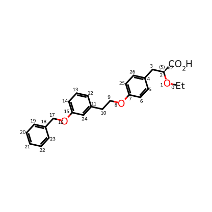 CCO[C@@H](Cc1ccc(OCCc2cccc(OCc3ccccc3)c2)cc1)C(=O)O